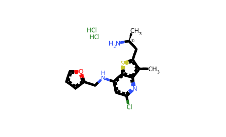 Cc1c(C[C@H](C)N)sc2c(NCc3ccco3)cc(Cl)nc12.Cl.Cl